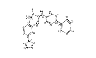 CC(Nc1ccc(-n2ccnc2)cc1)C(=O)Nc1ccc(-c2ccccc2)cn1